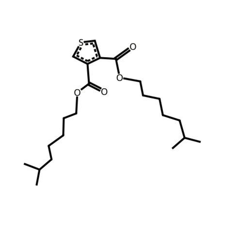 CC(C)CCCCCOC(=O)c1cscc1C(=O)OCCCCCC(C)C